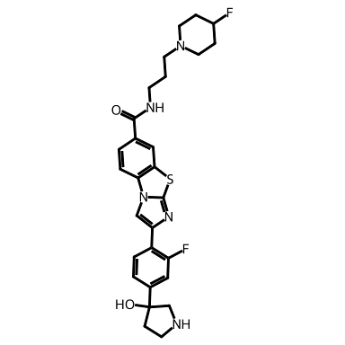 O=C(NCCCN1CCC(F)CC1)c1ccc2c(c1)sc1nc(-c3ccc(C4(O)CCNC4)cc3F)cn12